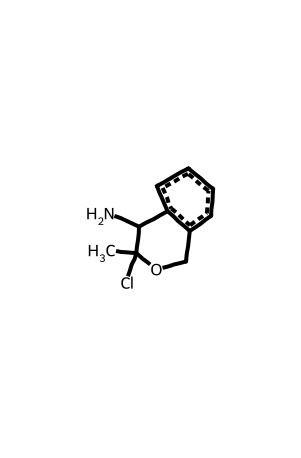 CC1(Cl)OCc2ccccc2C1N